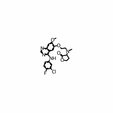 COc1cc2ncnc(Nc3ccc(F)c(Cl)c3)c2cc1OCCN(C)C1CCOC1=O